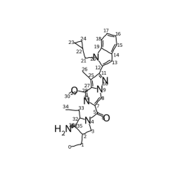 CCC1CN(C(=O)c2cn3nc(-c4cc5ccccc5n4CC4CC4)c(C)c3c(OC)n2)C(CC)[C@@H]1N